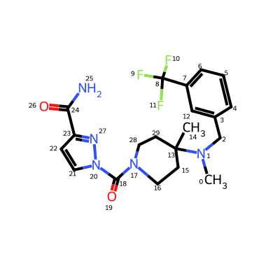 CN(Cc1cccc(C(F)(F)F)c1)C1(C)CCN(C(=O)n2ccc(C(N)=O)n2)CC1